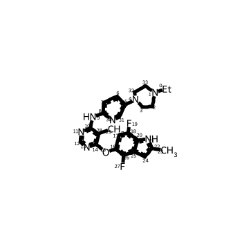 CCN1CCN(c2ccc(Nc3ncnc(Oc4cc(F)c5[nH]c(C)cc5c4F)c3C)nc2)CC1